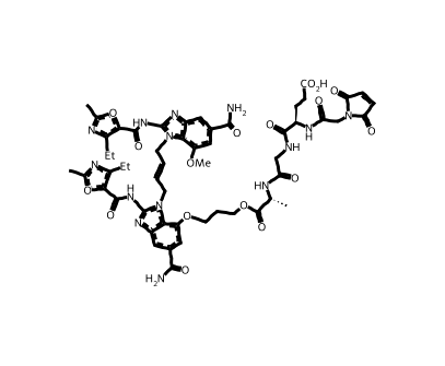 CCc1nc(C)oc1C(=O)Nc1nc2cc(C(N)=O)cc(OC)c2n1C/C=C/Cn1c(NC(=O)c2oc(C)nc2CC)nc2cc(C(N)=O)cc(OCCCOC(=O)[C@@H](C)NC(=O)CNC(=O)[C@@H](CCC(=O)O)NC(=O)CN3C(=O)C=CC3=O)c21